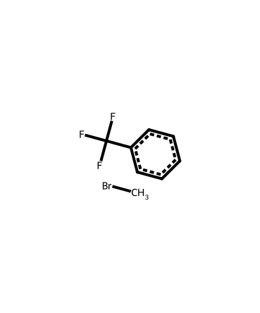 CBr.FC(F)(F)c1ccccc1